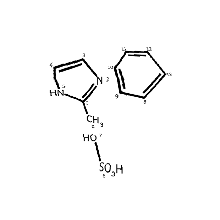 Cc1ncc[nH]1.O=S(=O)(O)O.c1ccccc1